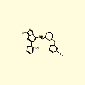 FC(F)(F)c1cccc(CN2CCCC(CNc3cc(-c4ccccc4Cl)nc4c(Br)ncn34)C2)c1